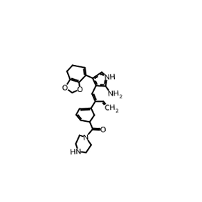 C=C/C(=C\c1c(C2=CCCC3=C2OCO3)c[nH]c1N)C1=CC=CC(C(=O)N2CCNCC2)C1